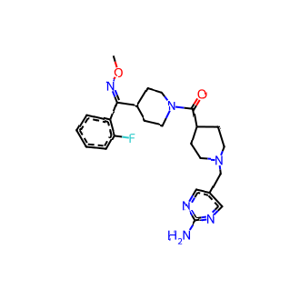 CON=C(c1ccccc1F)C1CCN(C(=O)C2CCN(Cc3cnc(N)nc3)CC2)CC1